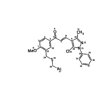 COc1ccc(C(=O)/C=C/c2c(C)nn(-c3ccccc3)c2Cl)cc1CSCC(C)=O